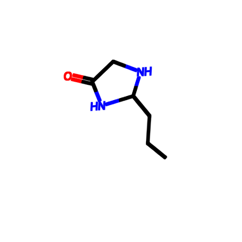 CCCC1NCC(=O)N1